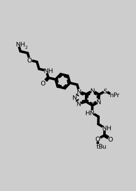 CCCSc1nc(NCCNC(=O)OC(C)(C)C)c2nnn(Cc3ccc(C(=O)NCCOCCN)cc3)c2n1